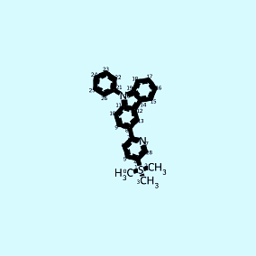 CS(C)(C)c1ccc(-c2ccc3c(c2)c2ccccc2n3-c2ccccc2)nc1